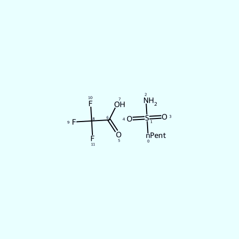 CCCCCS(N)(=O)=O.O=C(O)C(F)(F)F